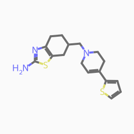 Nc1nc2c(s1)CC(CN1CC=C(c3cccs3)CC1)CC2